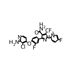 NC(=O)c1c(-c2ccc(Oc3ccnc(N)c3Cl)c(F)c2)nn(-c2ccc(F)cn2)c1C(F)(F)F